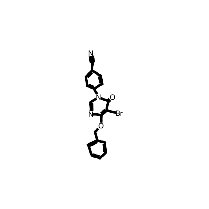 N#Cc1ccc(-n2cnc(OCc3ccccc3)c(Br)c2=O)cc1